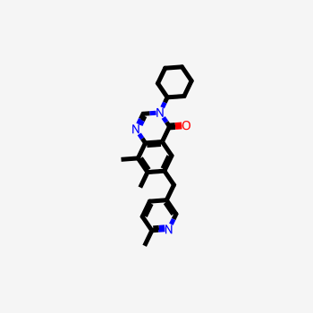 Cc1ccc(Cc2cc3c(=O)n(C4CCCCC4)cnc3c(C)c2C)cn1